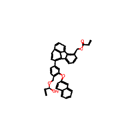 C=CC(=O)OCc1cccc2c1-c1cccc3ccc(-c4ccc(COC(O)C=C)c(Oc5ccc6ccccc6c5)c4)c-2c13